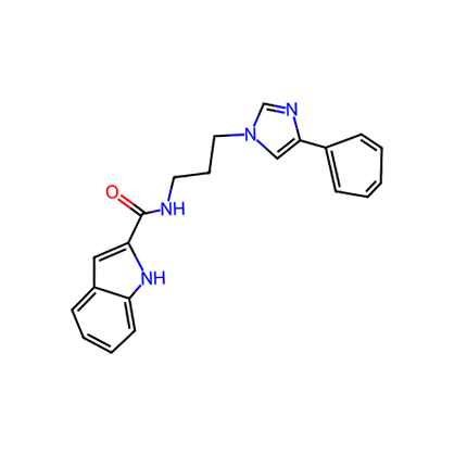 O=C(NCCCn1cnc(-c2ccccc2)c1)c1cc2ccccc2[nH]1